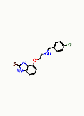 S=C1[N]c2c(cccc2OCCNCc2ccc(Cl)cc2)N1